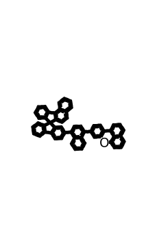 c1ccc2c(c1)-c1ccc(-c3ccc(-c4ccc5c(c4)Oc4cccc6cccc-5c46)c4ccccc34)cc1C21c2ccccc2-c2c1ccc1ccccc21